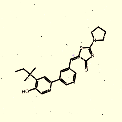 CCC(C)(C)c1cc(-c2cccc(/C=C3/SC(N4CCCC4)=NC3=O)c2)ccc1O